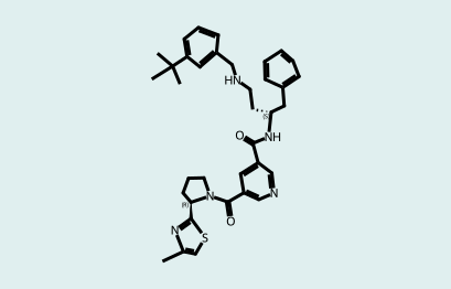 Cc1csc([C@H]2CCCN2C(=O)c2cncc(C(=O)N[C@H](CCNCc3cccc(C(C)(C)C)c3)Cc3ccccc3)c2)n1